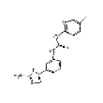 Nc1ncc(-c2cccc(NC(=O)Nc3ccc(Cl)cn3)c2)[nH]1